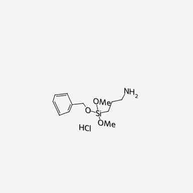 CO[Si](CCCN)(OC)OCc1ccccc1.Cl